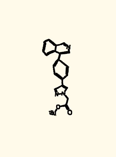 CC(C)(C)OC(=O)Cn1cc(-c2ccc(-c3cncc4ccccc34)cc2)cn1